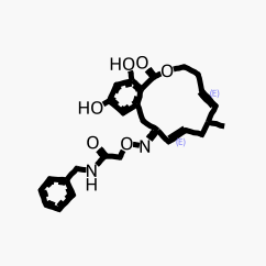 CC1/C=C/CCOC(=O)c2c(O)cc(O)cc2CC(=NOCC(=O)NCc2ccccc2)/C=C/C1